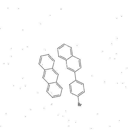 Brc1ccc(-c2ccc3ccccc3c2)cc1.c1ccc2cc3ccccc3cc2c1